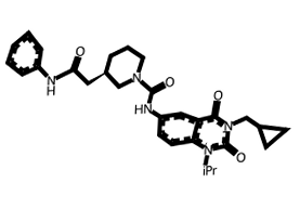 CC(C)n1c(=O)n(CC2CC2)c(=O)c2cc(NC(=O)N3CCC[C@H](CC(=O)Nc4ccccc4)C3)ccc21